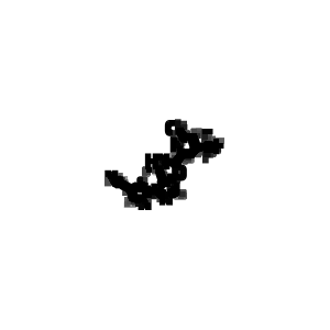 C[C@H](NC(=O)c1cc(C(F)(F)F)cc(Cl)n1)c1ncnn1-c1ncc(C#N)s1